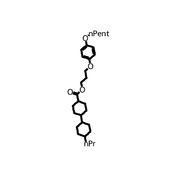 CCCCCOc1ccc(OCCCOC(=O)C2CCC(C3CCC(CCC)CC3)CC2)cc1